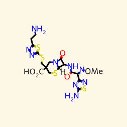 CON=C(C(=O)NC1C(=O)N2CC(CSc3nnc(CCN)s3)(C(=O)O)CS[C@H]12)c1nsc(N)n1